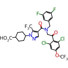 O=C(CN(Cc1cc(F)cc(F)c1)C(=O)c1cnn(C2CCC(C(=O)O)CC2)c1C(F)(F)F)c1c(Cl)cc(OC(F)(F)F)cc1Cl